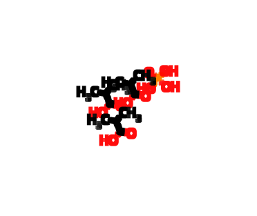 CC(C)C(=O)O.CC(C)C(=O)O.CC(C)C(=O)O.O=P(O)(O)O